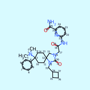 CN(C)C1(c2ccccc2)CCC2(CC1)CN(CC(=O)Nc1cccc(C(N)=O)n1)C(=O)N2CC1CCC1